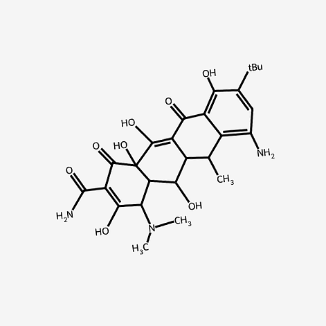 CC1c2c(N)cc(C(C)(C)C)c(O)c2C(=O)C2=C(O)C3(O)C(=O)C(C(N)=O)=C(O)C(N(C)C)C3C(O)C21